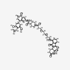 COc1cc(-c2cn(C)c(=O)c3cc(NC(=O)C4CCN(C(=O)CCOCCOCCNc5cccc6c5C(=O)N(C5CCC(=O)NC5=O)C6=O)CC4)sc23)cc(OC)c1CN(C)C